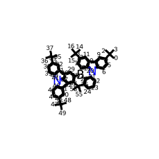 CC(C)(C)c1ccc2c(c1)c1cc(C(C)(C)C)cc3c1n2-c1cccc2c1B3c1cc3c4cc(C(C)(C)C)ccc4n4c5ccc(C(C)(C)C)cc5c(c1C2(C)C)c34